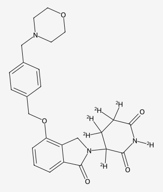 [2H]N1C(=O)C([2H])([2H])C([2H])([2H])C([2H])(N2Cc3c(OCc4ccc(CN5CCOCC5)cc4)cccc3C2=O)C1=O